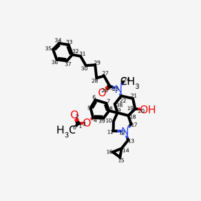 CC(=O)Oc1cccc(C23CCN(CC4CC4)CC2C(O)CC(N(C)C(=O)CCCCCc2ccccc2)C3)c1